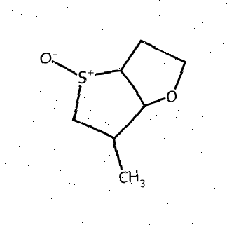 CC1C[S+]([O-])C2CCOC12